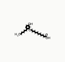 CCCCCCc1ccc(O)cc1OCCCCCCCCCCC(=O)O